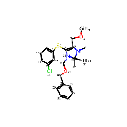 CN1C(CO[SiH3])=C(Sc2cccc(Cl)c2)N(COCc2ccccc2)C1(C)C(C)(C)C